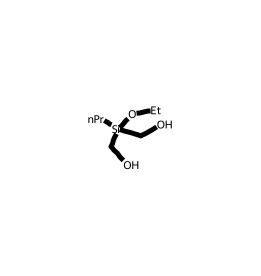 CCC[Si](CO)(CO)OCC